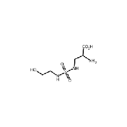 NC(CNS(=O)(=O)NCCO)C(=O)O